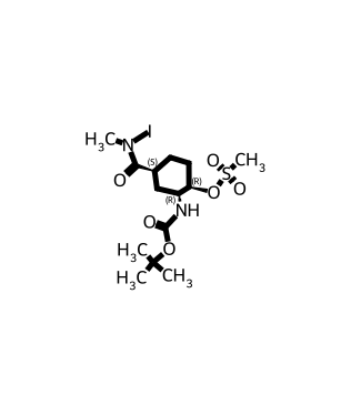 CN(I)C(=O)[C@H]1CC[C@@H](OS(C)(=O)=O)[C@H](NC(=O)OC(C)(C)C)C1